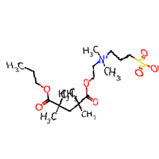 CCCOC(=O)C(C)(C)CC(C)(C)C(=O)OCC[N+](C)(C)CCCS(=O)(=O)O